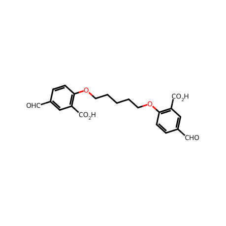 O=Cc1ccc(OCCCCCOc2ccc(C=O)cc2C(=O)O)c(C(=O)O)c1